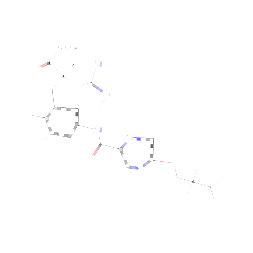 C/N=C(/N)S[C@](C)(Cc1cc(NC(=O)c2cnc(OCC(F)(F)C(F)F)cn2)cc(F)c1F)C(=O)NC